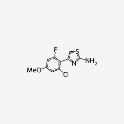 COc1cc(F)c(-c2csc(N)n2)c(Cl)c1